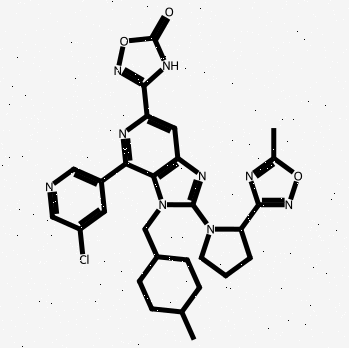 Cc1nc(C2CCCN2c2nc3cc(-c4noc(=O)[nH]4)nc(-c4cncc(Cl)c4)c3n2CC2CCC(C)CC2)no1